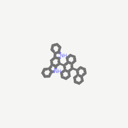 c1ccc2c(-c3c4ccccc4c(-c4c5[nH]c6ccccc6c5cc5c4[nH]c4ccccc45)c4ccccc34)cccc2c1